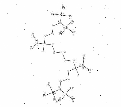 CC(C)[Si](C(C)C)(C(C)C)N(CCCC(C)(CCSCCC(C)(CCCN([Si](C(C)C)(C(C)C)C(C)C)[Si](C(C)C)(C(C)C)C(C)C)[SiH](Cl)Cl)[SiH](Cl)Cl)[Si](C(C)C)(C(C)C)C(C)C